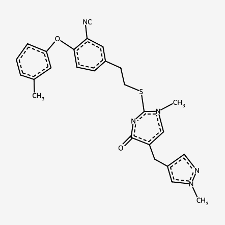 [C-]#[N+]c1cc(CCSc2nc(=O)c(Cc3cnn(C)c3)cn2C)ccc1Oc1cccc(C)c1